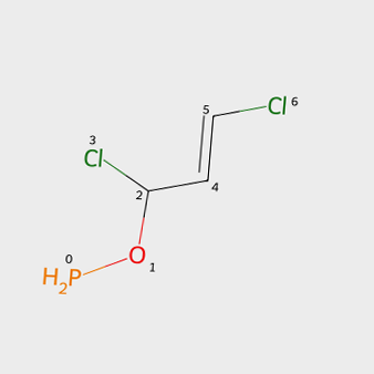 POC(Cl)C=CCl